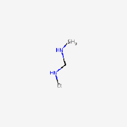 CCNCN[SiH3]